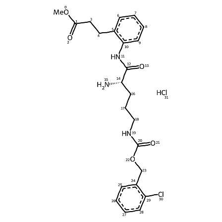 COC(=O)CCc1ccccc1NC(=O)[C@@H](N)CCCNC(=O)OCc1ccccc1Cl.Cl